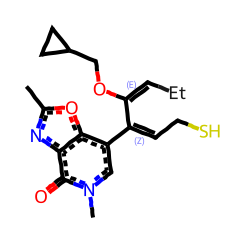 CC/C=C(OCC1CC1)\C(=C/CS)c1cn(C)c(=O)c2nc(C)oc12